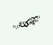 CN(C)Cc1ccc(CN2CC(C=O)NS2(=O)=O)o1